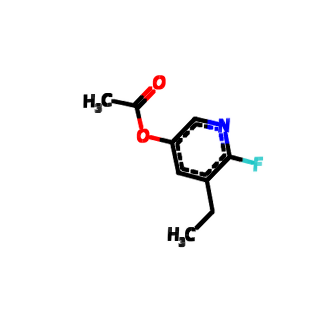 CCc1cc(OC(C)=O)cnc1F